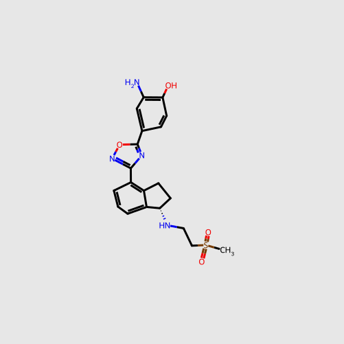 CS(=O)(=O)CCN[C@H]1CCc2c(-c3noc(-c4ccc(O)c(N)c4)n3)cccc21